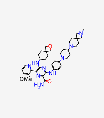 COc1cccnc1-c1nc(C(N)=O)c(Nc2ccc(N3CCC(N4CCC5(CC4)CN(C)C5)CC3)cc2)nc1NC1CCC2(CC1)COC2